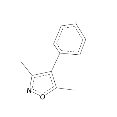 Cc1noc(C)c1-c1cc[c]cc1